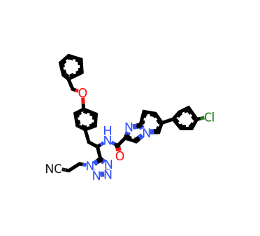 N#CCCn1nnnc1C(Cc1ccc(OCc2ccccc2)cc1)NC(=O)c1cn2cc(-c3ccc(Cl)cc3)ccc2n1